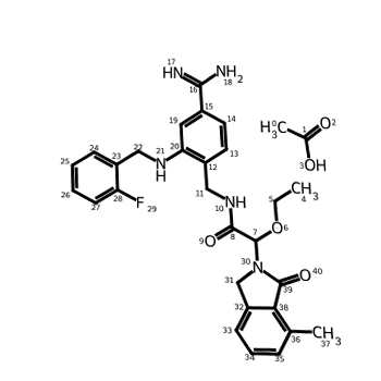 CC(=O)O.CCOC(C(=O)NCc1ccc(C(=N)N)cc1NCc1ccccc1F)N1Cc2cccc(C)c2C1=O